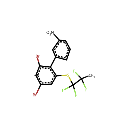 O=[N+]([O-])c1cccc(-c2c(Br)[c]c(Br)cc2SC(F)(F)C(F)(F)C(F)(F)F)c1